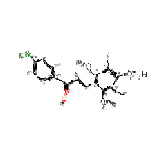 COc1c(C)c(C(=O)O)c(C)c(OC)c1C=CC(=O)c1ccc(Cl)cc1